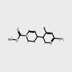 CC1=CC(N)=NCC1C1C=CN(C(=O)OC(C)(C)C)CC1